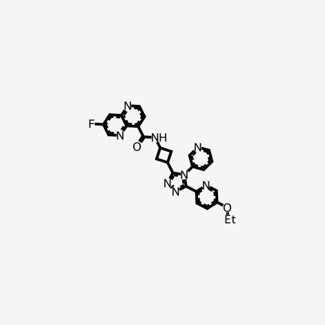 CCOc1ccc(-c2nnc(C3CC(NC(=O)c4ccnc5cc(F)cnc45)C3)n2-c2cccnc2)nc1